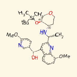 C=C(N[C@H]1CCOC[C@@H]1O[Si](C)(C)C(C)(C)C)c1cc(C(O)c2ccc(OC)nc2)c2cccc(OC)c2n1